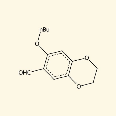 CCCCOc1cc2c(cc1C=O)OCCO2